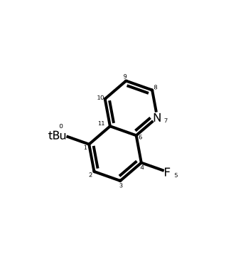 CC(C)(C)c1ccc(F)c2ncccc12